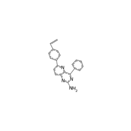 C=Cc1ccc(-c2ccc3nc(N)nc(-c4ccccc4)c3n2)cc1